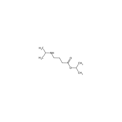 CC(C)NCCCC(=O)OC(C)C